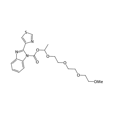 COCCOCCOCCOC(C)OC(=O)n1c(-c2cscn2)nc2ccccc21